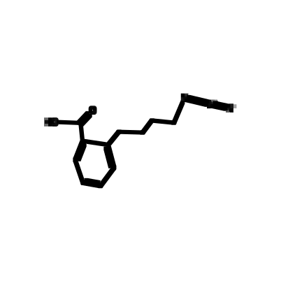 [N-]=[N+]=NCCCCc1ccccc1C(=O)O